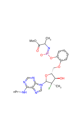 CCCNc1ncnc2c1ncn2C1O[C@H](COc2ccccc2O/[P+]([O-])=N/C(C)C(=O)OC)[C@@H](O)[C@@]1(C)F